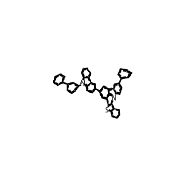 c1ccc(-c2cccc(-n3c4ccccc4c4cc(-c5cc6c7cc(-c8ccccc8)ccc7n7c6c(c5)c5sc6ccccc6c57)ccc43)c2)cc1